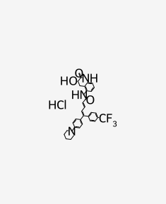 Cl.O=C(C=CC=C(c1ccc(N2CCCCC2)cc1)c1ccc(C(F)(F)F)cc1)Nc1cccc2c1CC(O)C(=O)N2